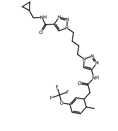 CC1C=CC(OC(F)(F)F)=CC1CC(=O)Nc1cn(CCCCn2cc(C(=O)NCC3CC3)nn2)nn1